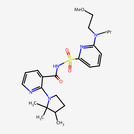 CCCN(CCOC)c1cccc(S(=O)(=O)NC(=O)c2cccnc2N2CCC(C)C2(C)C)n1